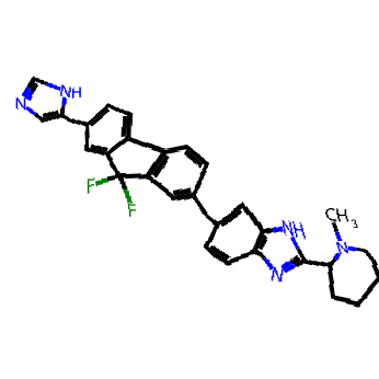 CN1CCCCC1c1nc2ccc(-c3ccc4c(c3)C(F)(F)c3cc(-c5cnc[nH]5)ccc3-4)cc2[nH]1